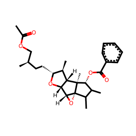 CC(=O)OC[C@H](C)CC[C@H]1O[C@@H]2[C@H]([C@@H]1C)[C@@]1(C)[C@H](OC(=O)c3ccccc3)C(C)C(C)[C@]13O[C@H]23